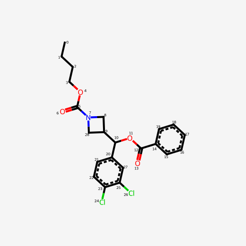 CCCCOC(=O)N1CC(C(OC(=O)c2ccccc2)c2ccc(Cl)c(Cl)c2)C1